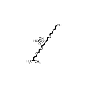 CC(C)CCOCCOCCOCCOCCOCCO.O=S(=O)(O)O